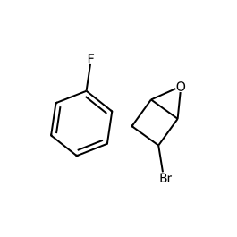 BrC1CC2OC12.Fc1ccccc1